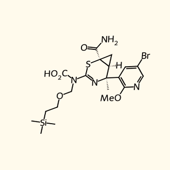 COc1ncc(Br)cc1[C@@]1(C)N=C(N(COCC[Si](C)(C)C)C(=O)O)S[C@@]2(C(N)=O)C[C@H]21